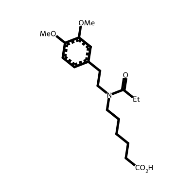 CCC(=O)N(CCCCCC(=O)O)CCc1ccc(OC)c(OC)c1